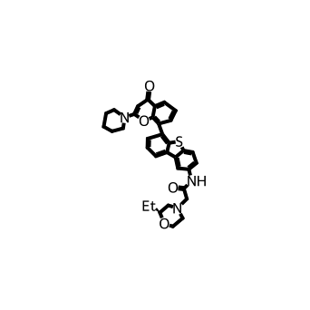 CC[C@H]1CN(CC(=O)Nc2ccc3sc4c(-c5cccc6c(=O)cc(N7CCCCC7)oc56)cccc4c3c2)CCO1